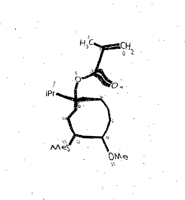 C=C(C)C(=O)OC1(C(C)C)CCC(OC)C(SC)C1